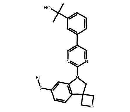 CCSc1ccc2c(c1)N(c1ncc(-c3cccc(C(C)(C)O)c3)cn1)CC21COC1